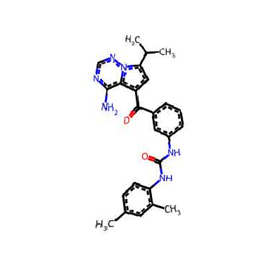 Cc1ccc(NC(=O)Nc2cccc(C(=O)c3cc(C(C)C)n4ncnc(N)c34)c2)c(C)c1